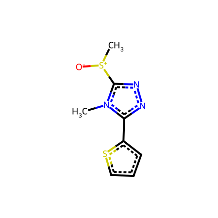 Cn1c(-c2cccs2)nnc1[S+](C)[O-]